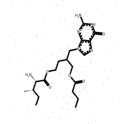 CCCC(=O)OCC(CCOC(=O)[C@@H](N)[C@@H](C)CC)Cn1cnc2c(=O)[nH]c(N)nc21